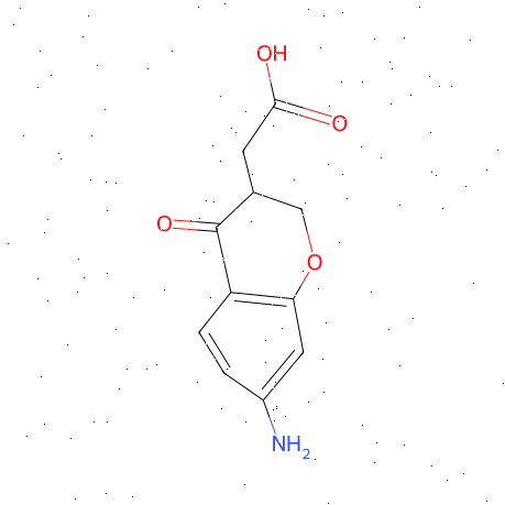 Nc1ccc2c(c1)OCC(CC(=O)O)C2=O